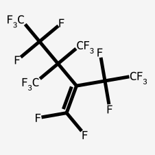 FC(F)=C(C(F)(F)C(F)(F)F)C(C(F)(F)F)(C(F)(F)F)C(F)(F)C(F)(F)F